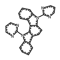 c1cnc(-n2c3ccccc3c3c2ccc2c4ccccc4n(-c4ncccn4)c23)nc1